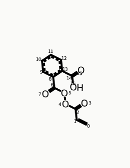 C=CC(=O)OOC(=O)c1ccccc1C(=O)O